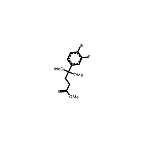 COC(=S)CCC(OC)(OC)c1ccc(Br)c(F)c1